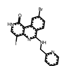 O=c1[nH]cc(I)c2nc(NCc3ccccn3)c3ccc(Br)cc3c12